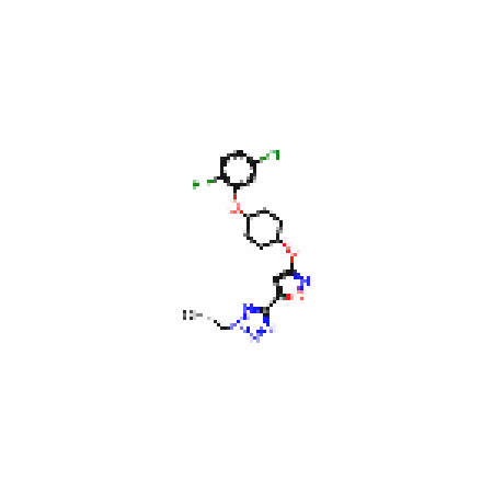 O=CCn1nnc(-c2cc(OC3CCC(Oc4cc(Cl)ccc4Br)CC3)no2)n1